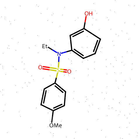 CCN(c1cccc(O)c1)S(=O)(=O)c1ccc(OC)cc1